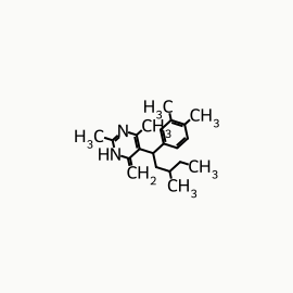 C=C1NC(C)=NC(C)=C1C(CC(C)CC)c1ccc(C)c(C)c1